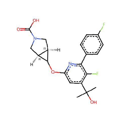 CC(C)(O)c1cc(OC2[C@H]3CN(C(=O)O)C[C@@H]23)nc(-c2ccc(F)cc2)c1F